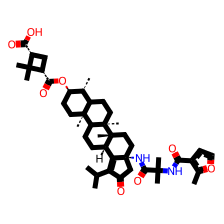 Cc1occc1C(=O)NC(C)(C)C(=O)N[C@@]12CC[C@]3(C)[C@H](CCC4[C@@]5(C)CC[C@H](OC(=O)[C@H]6C[C@@H](C(=O)O)C6(C)C)[C@H](C)C5CC[C@]43C)C1=C(C(C)C)C(=O)C2